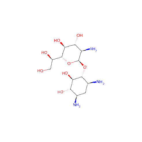 N[C@H]1[C@@H](O[C@H]2[C@H](O)[C@@H](O)[C@H](N)C[C@@H]2N)O[C@H]([C@H](O)CO)[C@@H](O)[C@@H]1O